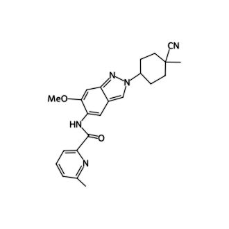 COc1cc2nn(C3CCC(C)(C#N)CC3)cc2cc1NC(=O)c1cccc(C)n1